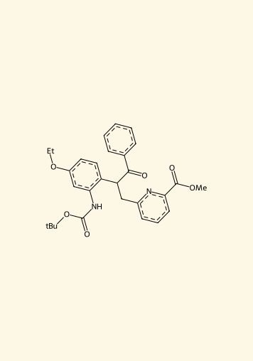 CCOc1ccc(C(Cc2cccc(C(=O)OC)n2)C(=O)c2ccccc2)c(NC(=O)OC(C)(C)C)c1